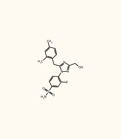 Cc1ccc(Cc2nc(CO)nn2-c2ccc(S(N)(=O)=O)cc2F)c(C)c1